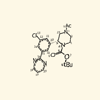 CC(=O)N1CCN(C(=O)OC(C)(C)C)[C@H](c2cc(Cl)cc(-c3ncccn3)c2)C1